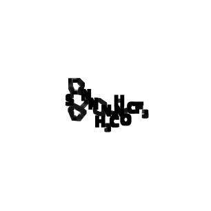 CC(NC(=O)C(F)(F)F)N1CCN(C2=Nc3ccccc3Sc3ccccc32)CC1